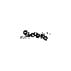 CCCCN(C(=O)N(CC)c1ccc(-c2ccc(N(CC)C(=O)N(CCCC)c3ccccc3)cc2C)c(C)c1)c1ccccc1